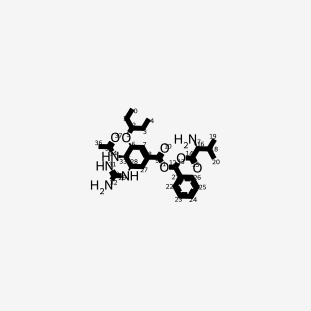 CCC(CC)O[C@@H]1C=C(C(=O)OC(OC(=O)[C@H](N)C(C)C)c2ccccc2)C[C@H](NC(=N)N)[C@H]1NC(C)=O